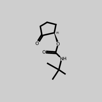 CC(C)(C)NC(=O)O[C@@H]1CCCC1=O